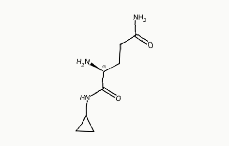 NC(=O)CC[C@H](N)C(=O)NC1CC1